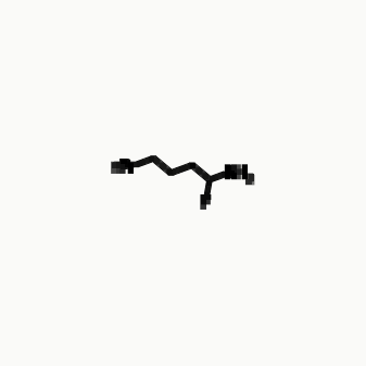 CCCCCCC(N)F